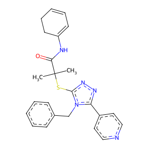 CC(C)(Sc1nnc(-c2ccncc2)n1Cc1ccccc1)C(=O)NC1=CC=CCC1